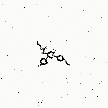 CCCOC(=O)Nc1cc(=O)n(-c2ccc(OCF)cc2)cc1-c1ccc(F)cc1